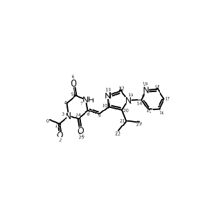 CC(=O)N1CC(=O)NC(=Cc2ncn(-c3ccccn3)c2C(C)C)C1=O